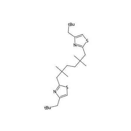 CC(C)(C)Cc1csc(CC(C)(C)CCC(C)(C)Cc2nc(CC(C)(C)C)cs2)n1